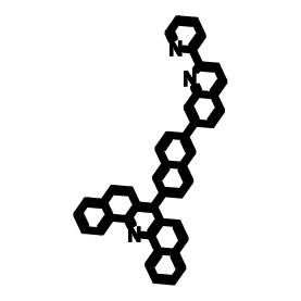 c1ccc(-c2ccc3ccc(-c4ccc5cc(-c6c7ccc8ccccc8c7nc7c6ccc6ccccc67)ccc5c4)cc3n2)nc1